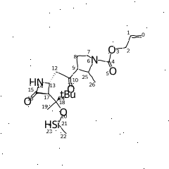 C=CCOC(=O)N1CCC(C(=O)C[C@H]2NC(=O)[C@@H]2[C@@](C)(O[SiH](C)C)C(C)(C)C)C1C